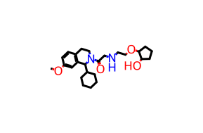 COc1ccc2c(c1)C(C1CCCCC1)N(C(=O)CNCCOC1CCCC1O)CC2